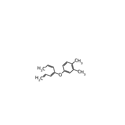 C=C/C=C(\C=C/C)Oc1ccc(C)c(C)c1